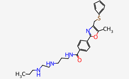 CCCNCCNCCCNC(=O)c1ccc(-c2nc(CSc3ccccc3)c(C)o2)cc1